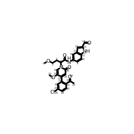 COCCC(C(=O)Nc1ccc2[nH]c(C=O)cc2c1)n1cc(OC)c(-c2cc(Cl)ccc2C(C)=O)cc1=O